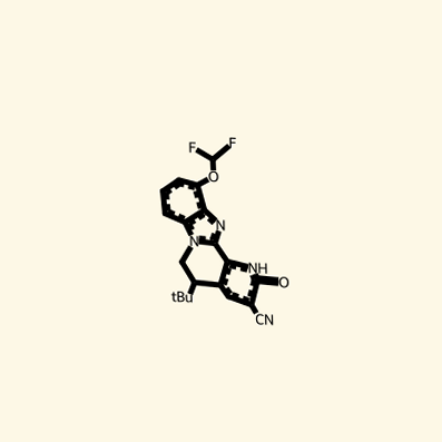 CC(C)(C)C1Cn2c(nc3c(OC(F)F)cccc32)-c2[nH]c(=O)c(C#N)cc21